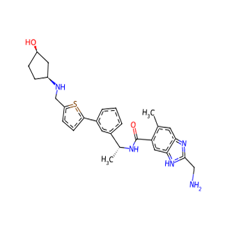 Cc1cc2nc(CN)[nH]c2cc1C(=O)N[C@H](C)c1cccc(-c2ccc(CN[C@H]3CC[C@@H](O)C3)s2)c1